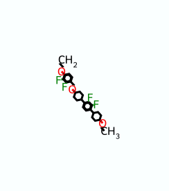 C=CCOc1ccc(COC2CCC(c3ccc(C4CCC(OCC)CC4)c(F)c3F)CC2)c(F)c1F